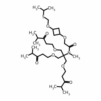 CC(C)SCOC1CC(OCC(=O)N(C)C(COCCC(=O)C(C)C)(COCCC(=O)C(C)C)COCCC(=O)C(C)C)C1